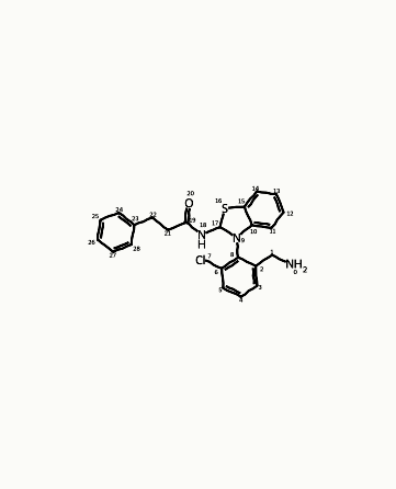 NCc1cccc(Cl)c1N1c2ccccc2SC1NC(=O)CCc1ccccc1